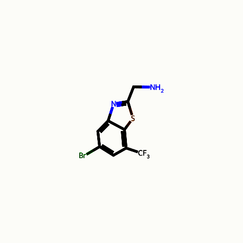 NCc1nc2cc(Br)cc(C(F)(F)F)c2s1